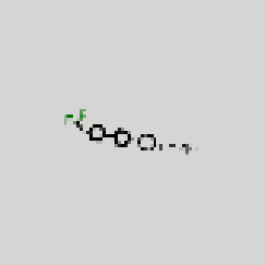 CCCCCCC[C@H]1CC[C@H](c2ccc(-c3ccc(C=C(F)F)cc3)cc2)CC1